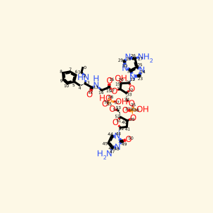 CCN[C@@H](Cc1ccccc1)C(=O)NCC(=O)OC1C(O)[C@H](n2cnc3c(N)ncnc32)O[C@@H]1COP(=O)(O)OC1C[C@H](n2ccc(N)nc2=O)O[C@@H]1COP(=O)(O)O